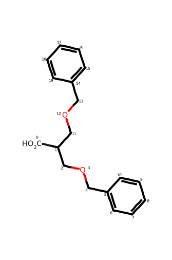 O=C(O)C(COCc1ccccc1)COCc1ccccc1